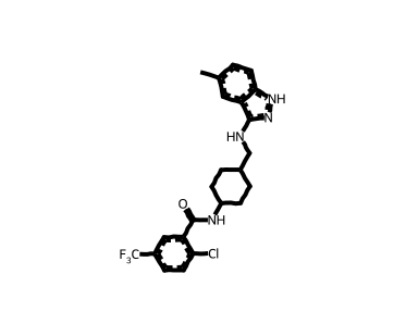 Cc1ccc2[nH]nc(NCC3CCC(NC(=O)c4cc(C(F)(F)F)ccc4Cl)CC3)c2c1